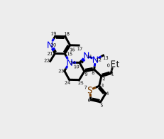 CC/C=C(/c1cccs1)c1c2c(nn1C)N(c1c(C)ccnc1C)CCC2